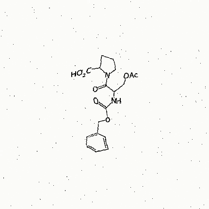 CC(=O)OCC(NC(=O)OCc1ccccc1)C(=O)N1CCCC1C(=O)O